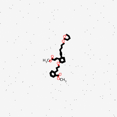 COC(=O)C=Cc1c(C#CCCCCOC2CCCCO2)cccc1OCCCc1ccccc1C(=O)OC